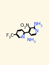 N.Nc1nccc(-c2ccc(C(F)(F)F)cn2)c1[N+](=O)[O-]